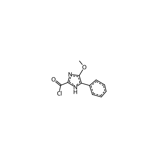 COc1nc(C(=O)Cl)[nH]c1-c1ccccc1